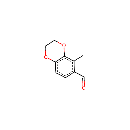 Cc1c([C]=O)ccc2c1OCCO2